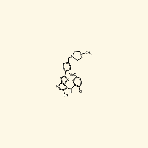 COc1ccc(Cl)c(Nc2c(C#N)cnc3cc(-c4ccc(CN5CCN(C)CC5)cc4)sc23)c1